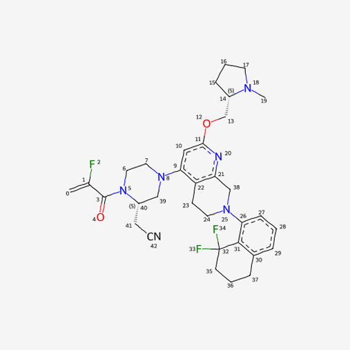 C=C(F)C(=O)N1CCN(c2cc(OC[C@@H]3CCCN3C)nc3c2CCN(c2cccc4c2C(F)(F)CCC4)C3)C[C@@H]1CC#N